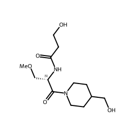 COC[C@H](NC(=O)CCO)C(=O)N1CCC(CO)CC1